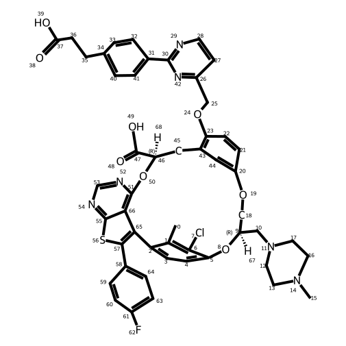 Cc1c2ccc(c1Cl)O[C@H](CN1CCN(C)CC1)COc1ccc(OCc3ccnc(-c4ccc(CCC(=O)O)cc4)n3)c(c1)C[C@H](C(=O)O)Oc1ncnc3sc(-c4ccc(F)cc4)c-2c13